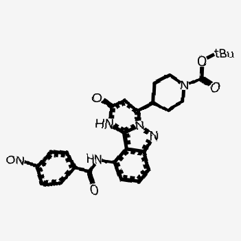 CC(C)(C)OC(=O)N1CCC(c2cc(=O)[nH]c3c4c(NC(=O)c5ccc(N=O)cc5)cccc4nn23)CC1